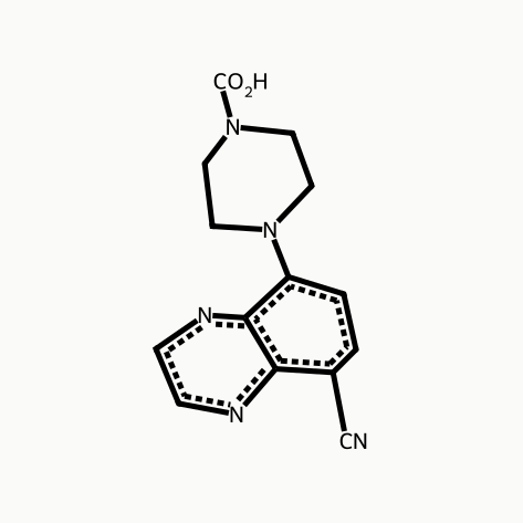 N#Cc1ccc(N2CCN(C(=O)O)CC2)c2nccnc12